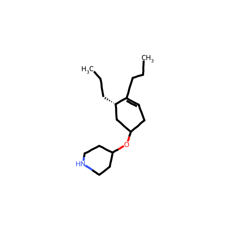 CCCC1=CCC(OC2CCNCC2)C[C@@H]1CCC